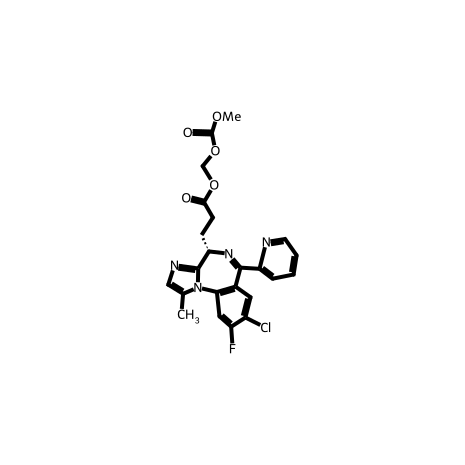 COC(=O)OCOC(=O)CC[C@@H]1N=C(c2ccccn2)c2cc(Cl)c(F)cc2-n2c(C)cnc21